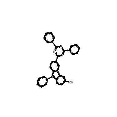 Cc1ccc2c(c1)c1cc(-c3nc(-c4ccccc4)nc(-c4ccccc4)n3)ccc1n2-c1ccccc1